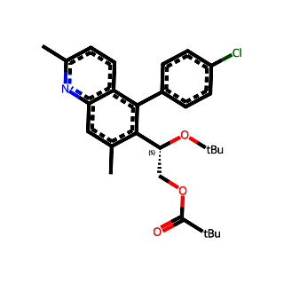 Cc1ccc2c(-c3ccc(Cl)cc3)c([C@@H](COC(=O)C(C)(C)C)OC(C)(C)C)c(C)cc2n1